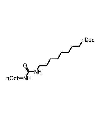 CCCCCCCCCCCCCCCCCCNC(=O)NCCCCCCCC